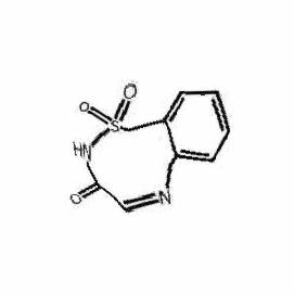 O=C1C=Nc2ccccc2S(=O)(=O)N1